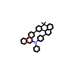 CC1(C)c2ccc(-c3ccc(-c4ccccc4)cc3)cc2-c2c(-c3ccc(N(c4ccccc4)c4ccccc4)cc3)ccc3cccc1c23